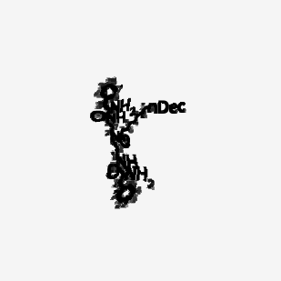 CCCCCCCCCCCCCCCCCC(=O)N(CCCNC(=O)[C@@H](N)Cc1ccccc1)CCCNC(=O)[C@@H](N)Cc1ccccc1